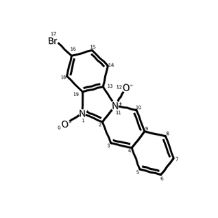 [O-][N+]1=C2C=c3ccccc3=C[N+]2([O-])c2ccc(Br)cc21